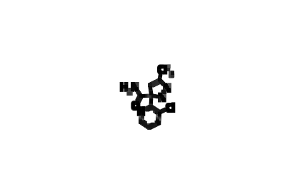 NC(=O)C1(c2ncccc2Cl)C=C(C(F)(F)F)N=N1